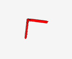 C1CO1.C1CO1.C1CO1.C1CO1.C1CO1.C1CO1.CC1CO1.CC1CO1.CC1CO1.CC1CO1.CC1CO1.CC1CO1.CC1CO1.CC1CO1.CC1CO1.CC1CO1.CC1CO1.CC1CO1.CC1CO1.CC1CO1.CC1CO1.CC1CO1.CC1CO1.CC1CO1.CC1CO1.CC1CO1.CC1CO1.CC1CO1.CC1CO1.CC1CO1.CC1CO1.CC1CO1.CC1CO1.CC1CO1.CC1CO1